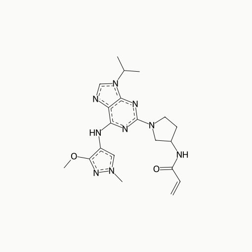 C=CC(=O)NC1CCN(c2nc(Nc3cn(C)nc3OC)c3ncn(C(C)C)c3n2)C1